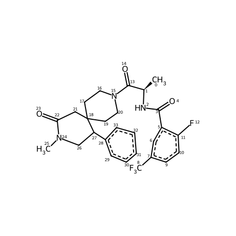 C[C@@H](NC(=O)c1cc(C(F)(F)F)ccc1F)C(=O)N1CCC2(CC1)CC(=O)N(C)CC2c1ccccc1